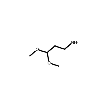 COC(CC[NH])OC